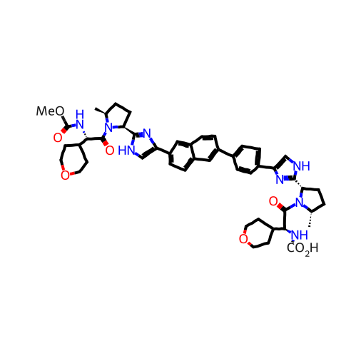 COC(=O)N[C@H](C(=O)N1[C@@H](C)CC[C@H]1c1nc(-c2ccc3cc(-c4ccc(-c5c[nH]c([C@@H]6CC[C@H](C)N6C(=O)[C@@H](NC(=O)O)C6CCOCC6)n5)cc4)ccc3c2)c[nH]1)C1CCOCC1